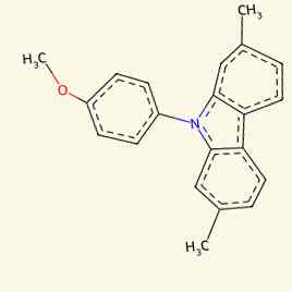 COc1ccc(-n2c3cc(C)ccc3c3ccc(C)cc32)cc1